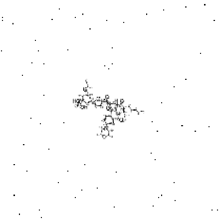 CCCCC[C@@H](C(=O)NCNC(=O)c1ccc(-c2cc(OCC)cc(P(=O)(O)O)c2)o1)[C@@H](CC)N(C=O)OC(=O)c1ccc(N2CCOCC2)cc1